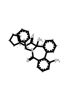 Cc1cccc2c1-c1ccccc1C(C)(C(=O)NC1CCCC1)N(Cc1ccccc1)C2=O